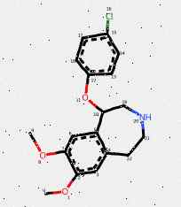 COc1cc2c(cc1OC)C(Oc1ccc(Cl)cc1)CNCC2